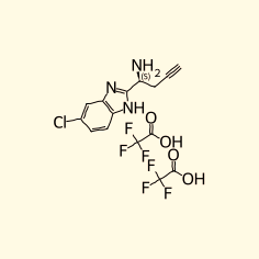 C#CC[C@H](N)c1nc2cc(Cl)ccc2[nH]1.O=C(O)C(F)(F)F.O=C(O)C(F)(F)F